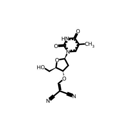 Cc1cn([C@H]2C[C@H](OC=C(C#N)C#N)[C@@H](CO)O2)c(=O)[nH]c1=O